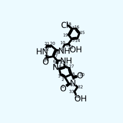 O=C1c2cc3nc(-c4c(NCC(O)c5cccc(Cl)c5)cc[nH]c4=O)[nH]c3cc2C(=O)N1CCO